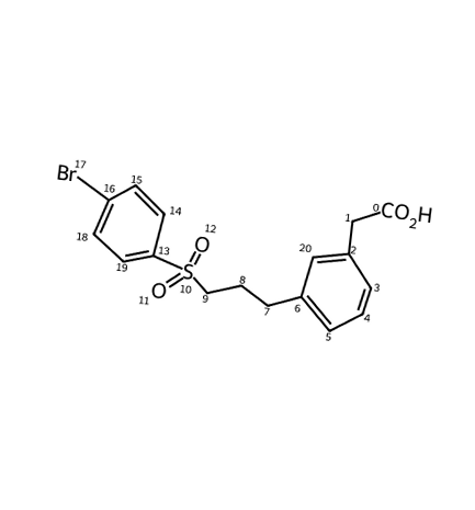 O=C(O)Cc1cccc(CCCS(=O)(=O)c2ccc(Br)cc2)c1